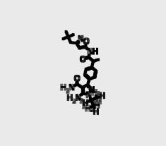 [2H]C([2H])([2H])C([2H])(n1nc(-c2ccc(C(C)C(=O)Nc3cc(CC(C)(C)C)no3)cc2)c(C(N)=O)c1N)C([2H])([2H])[2H]